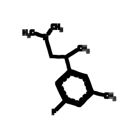 Cc1cc(F)cc(C(C)CN(C)C)c1